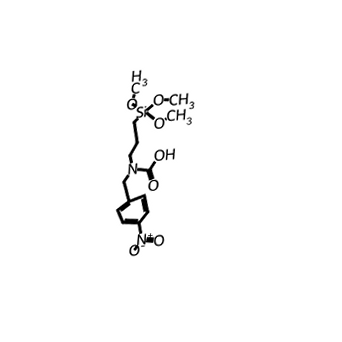 CO[Si](CCCN(Cc1ccc([N+](=O)[O-])cc1)C(=O)O)(OC)OC